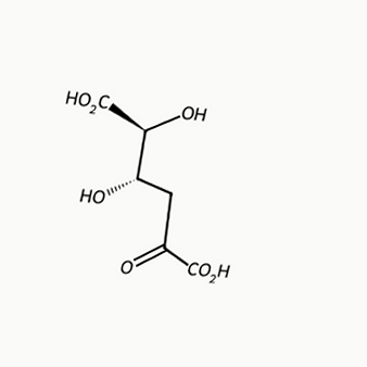 O=C(O)C(=O)C[C@H](O)[C@H](O)C(=O)O